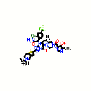 [2H]C([2H])([2H])N1CCc2sc(-c3nc4n(C(C(N)=O)c5ccc(C(F)(F)F)cc5Cl)c(CC)c(N5CCN(C(=O)c6ncnc(C)c6O)CC5)c(=O)n4n3)cc2C1